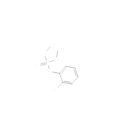 COP(=O)(OC)Oc1ccccc1Br